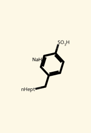 CCCCCCCCc1ccc(S(=O)(=O)O)cc1.[NaH]